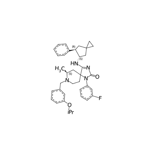 CC(C)Oc1cccc(CN2CCC3(C[C@@H]2C)C(N[C@H]2CC4(CC4)C[C@@H]2c2ccccc2)=NC(=O)N3c2cccc(F)c2)c1